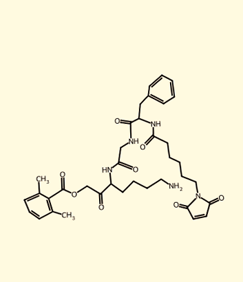 Cc1cccc(C)c1C(=O)OCC(=O)C(CCCCN)NC(=O)CNC(=O)C(Cc1ccccc1)NC(=O)CCCCCN1C(=O)C=CC1=O